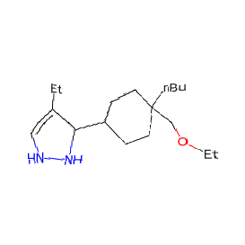 CCCCC1(COCC)CCC(C2NNC=C2CC)CC1